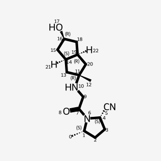 C[C@H]1CC[C@@H](C#N)N1C(=O)CN[C@]1(C)C[C@H]2C[C@@H](O)C[C@H]2C1